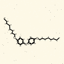 CCCCCCCCOc1ccc(Oc2ccc(OCCCCCCCC)cc2)cc1